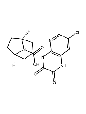 O=C(O)N1[C@@H]2CC[C@H]1C[C@H](n1c(=O)c(=O)[nH]c3cc(Cl)cnc31)C2